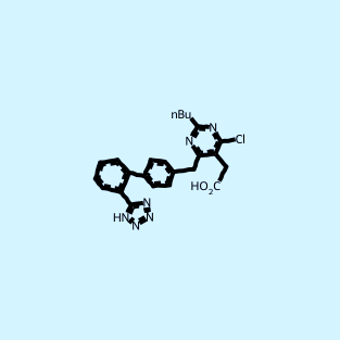 CCCCc1nc(Cl)c(CC(=O)O)c(Cc2ccc(-c3ccccc3-c3nnn[nH]3)cc2)n1